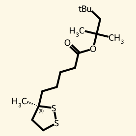 CC(C)(C)CC(C)(C)OC(=O)CCCC[C@]1(C)CCSS1